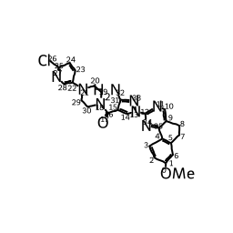 COc1ccc2c(c1)CCc1cnc(-n3cc(C(=O)N4CCN(c5ccc(Cl)nc5)CC4)c(N)n3)nc1-2